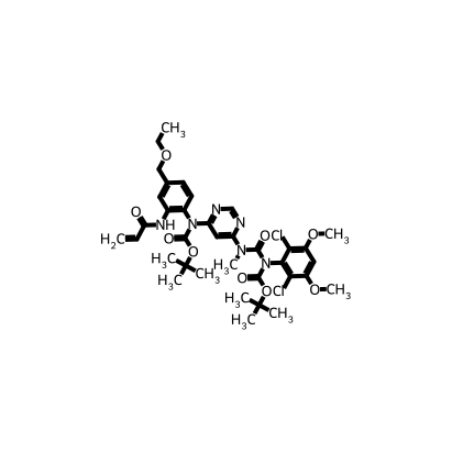 C=CC(=O)Nc1cc(COCC)ccc1N(C(=O)OC(C)(C)C)c1cc(N(C)C(=O)N(C(=O)OC(C)(C)C)c2c(Cl)c(OC)cc(OC)c2Cl)ncn1